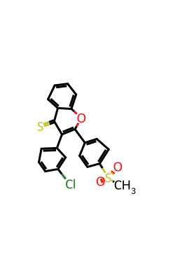 CS(=O)(=O)c1ccc(-c2oc3ccccc3c(=S)c2-c2cccc(Cl)c2)cc1